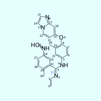 C=C/N=C(/Nc1ccc(Oc2ccn3ccnc3c2)c(C)c1)c1cc(NO)ccc1C